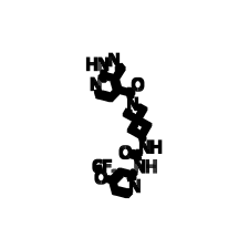 O=C(Nc1cc(OC(F)(F)F)ccn1)NC1CC2(C1)CN(C(=O)c1ccnc3[nH]ncc13)C2